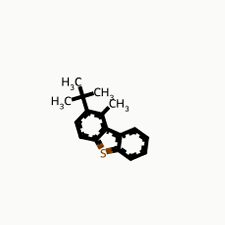 Cc1c(C(C)(C)C)ccc2sc3ccccc3c12